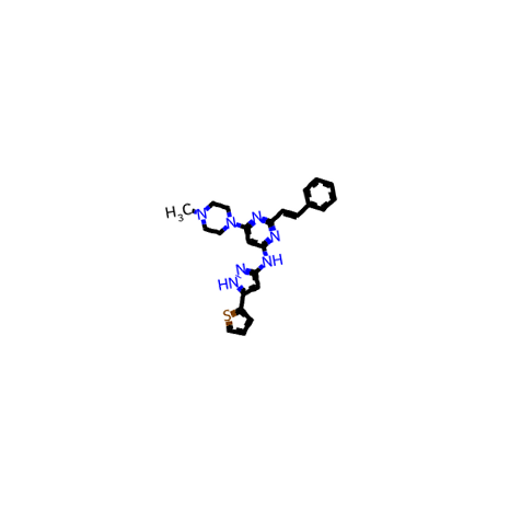 CN1CCN(c2cc(Nc3cc(-c4cccs4)[nH]n3)nc(/C=C/c3ccccc3)n2)CC1